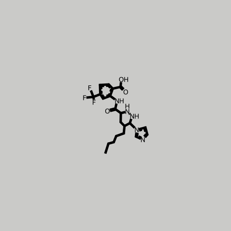 CCCCCC1CC(C(=O)Nc2cc(C(F)(F)F)ccc2C(=O)O)NNC1n1ccnc1